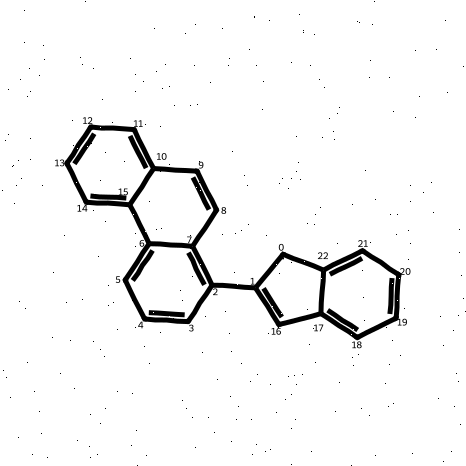 [CH]1C(c2cccc3c2ccc2ccccc23)=Cc2ccccc21